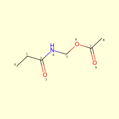 CCC(=O)NCOC(C)=O